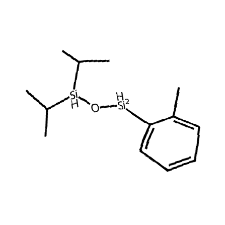 Cc1ccccc1[SiH2]O[SiH](C(C)C)C(C)C